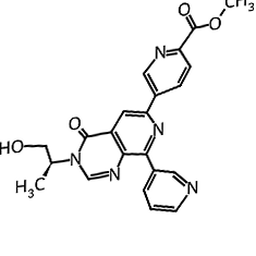 COC(=O)c1ccc(-c2cc3c(=O)n([C@@H](C)CO)cnc3c(-c3cccnc3)n2)cn1